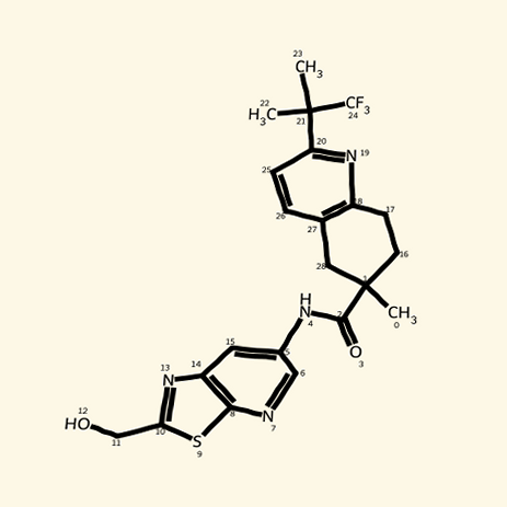 CC1(C(=O)Nc2cnc3sc(CO)nc3c2)CCc2nc(C(C)(C)C(F)(F)F)ccc2C1